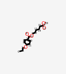 CCCOc1ccc(C(=O)OCCCCCC(=O)OC)cc1